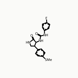 CSc1ccc(C2CNC(=O)C2NC(=O)Nc2ccc(F)cc2)cc1